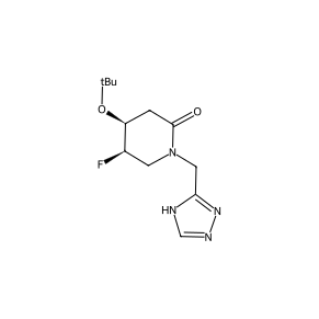 CC(C)(C)O[C@H]1CC(=O)N(Cc2nnc[nH]2)C[C@H]1F